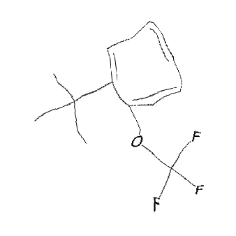 CC(C)(C)c1ccccc1OC(F)(F)F